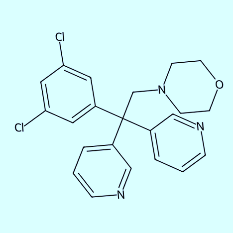 Clc1cc(Cl)cc(C(CN2CCOCC2)(c2cccnc2)c2cccnc2)c1